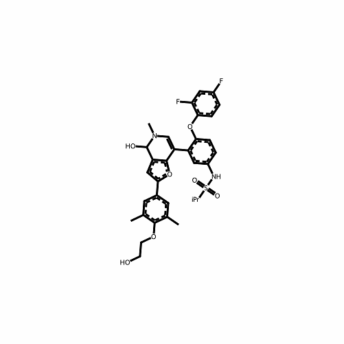 Cc1cc(-c2cc3c(o2)C(c2cc(NS(=O)(=O)C(C)C)ccc2Oc2ccc(F)cc2F)=CN(C)C3O)cc(C)c1OCCO